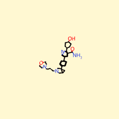 NC(=O)c1cc(-c2ccc(C34CC3CN(CCCN3CCOCC3)C4)cc2)cnc1C1CCC(O)CC1